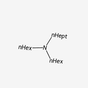 CCCCCCCN(CCCCCC)CCCCCC